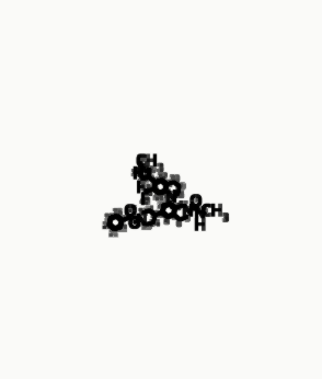 CNC(=O)N1CCc2cc(C3CCN(OC(=O)c4ccccc4)CC3)cc(N3CCCc4cc(-c5cnn(C)c5)c(C(F)F)cc43)c2C1